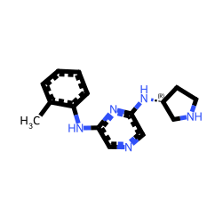 Cc1ccccc1Nc1cncc(N[C@@H]2CCNC2)n1